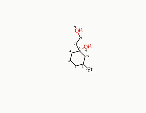 CCC1CCC[C@@](O)(CCO)C1